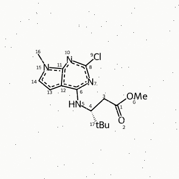 COC(=O)C[C@@H](Nc1nc(Cl)nc2c1ccn2C)C(C)(C)C